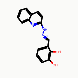 Oc1cccc(/C=N/Nc2ccc3ccccc3n2)c1O